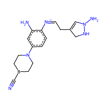 N#CB1CCN(c2ccc(/N=C\CC3=CN(N)NC3)c(N)c2)CC1